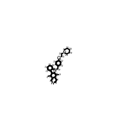 Cc1c2cnccc2c(C)c2c1c1ccccc1n2Cc1ccc(OCCN2CCCCC2)cc1